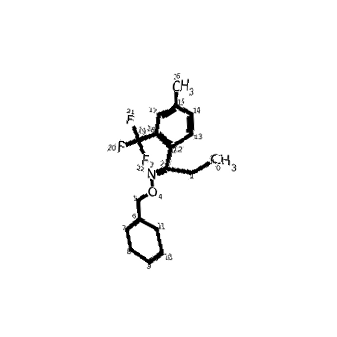 CC/C(=N\OCC1CCCCC1)c1ccc(C)cc1C(F)(F)F